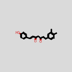 Cc1ccc(C=CC(=O)CC(=O)C=Cc2ccc(O)cc2)cc1C